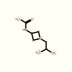 CC(=O)NC1CN(CC(C)C)C1